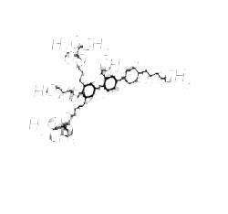 C=C(C)C(=O)OCCCc1cc(-c2ccc(C3CCC(CCCCC)CC3)cc2CC)cc(CCCOC(=O)C(=C)C)c1OCCCO